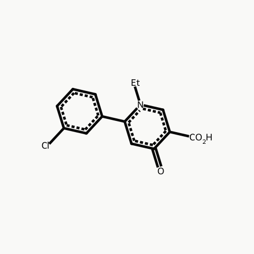 CCn1cc(C(=O)O)c(=O)cc1-c1cccc(Cl)c1